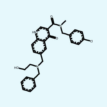 CN(Cc1ccc(Cl)cc1)C(=O)c1c[nH]c2ccc(CN(CCO)Cc3ccccc3)cc2c1=O